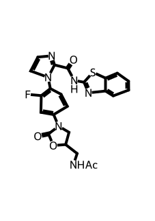 CC(=O)NCC1CN(c2ccc(-n3ccnc3C(=O)Nc3nc4ccccc4s3)c(F)c2)C(=O)O1